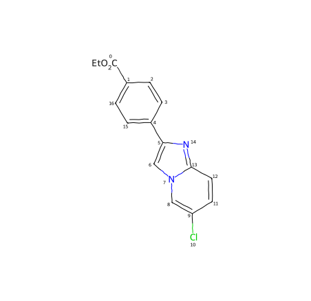 CCOC(=O)c1ccc(-c2cn3cc(Cl)ccc3n2)cc1